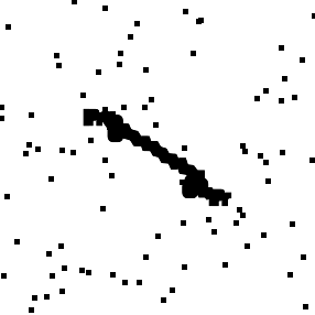 CC(C)CCOC(=O)CCCCCCCCCCCCCCCC(C)CC(=O)OCCC(C)C